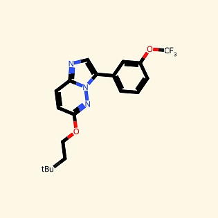 CC(C)(C)CCOc1ccc2ncc(-c3cccc(OC(F)(F)F)c3)n2n1